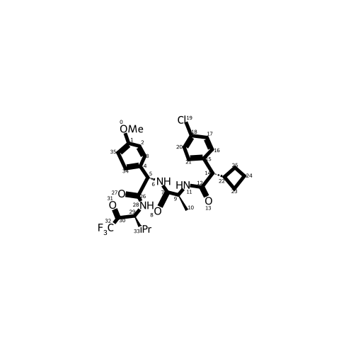 COc1ccc([C@H](NC(=O)[C@H](C)NC(=O)[C@H](c2ccc(Cl)cc2)C2CCC2)C(=O)N[C@H](C(=O)C(F)(F)F)C(C)C)cc1